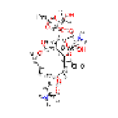 CO[C@@H]1[C@@H](O[C@@H]2O[C@H](C)[C@@H](O[C@H]3C[C@@](C)(O)[C@@H](OC(=O)C(C)C)[C@H](C)O3)[C@H](N(C)C)[C@H]2O)[C@@H](CC=O)C[C@@H](C)[C@@H](O[C@H]2CC[C@H](N(C)C)[C@@H](C)O2)/C=C/C=C/C[C@@H](C)OC(=O)C[C@H]1OC(C)=O